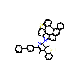 CC1=C(c2ccc(-c3ccccc3)cc2)N=C(n2c3ccc4cc5ccccc5c5c4c3c3c4c(ccc32)sc2cccc-5c24)C(C)C1c1ccccc1S